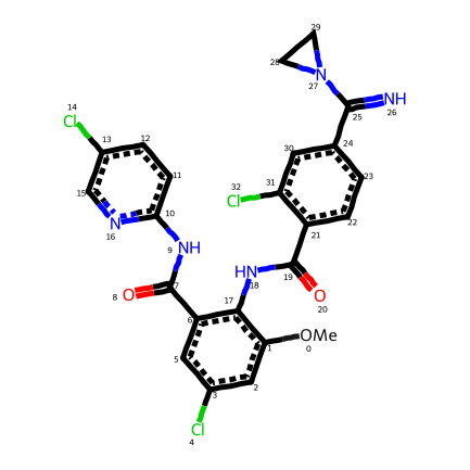 COc1cc(Cl)cc(C(=O)Nc2ccc(Cl)cn2)c1NC(=O)c1ccc(C(=N)N2CC2)cc1Cl